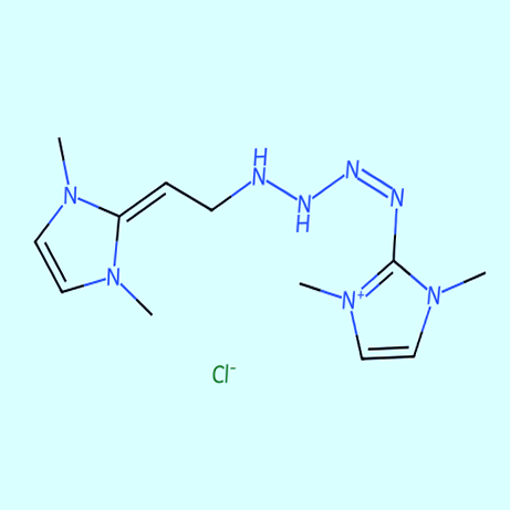 CN1C=CN(C)C1=CCNN/N=N\c1n(C)cc[n+]1C.[Cl-]